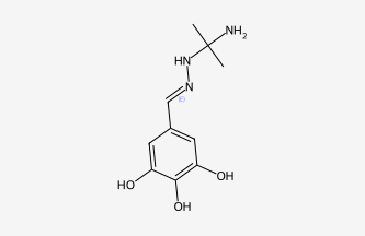 CC(C)(N)N/N=C/c1cc(O)c(O)c(O)c1